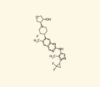 Cc1cc2cnc(Nc3cnn(C4CC4(F)F)c3C)nc2cc1[C@@H]1CCN([C@H]2COC[C@H]2O)C[C@H]1F